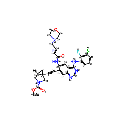 CC(C)(C)OC(=O)N1C[C@H]2C[C@@]2(C#Cc2cc3ncnc(Nc4cccc(Cl)c4F)c3cc2NC(=O)/C=C/CN2CCOCC2)C1